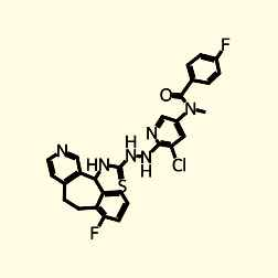 CN(C(=O)c1ccc(F)cc1)c1cnc(NNC(=S)NC2c3cnccc3CCc3c(F)cccc32)c(Cl)c1